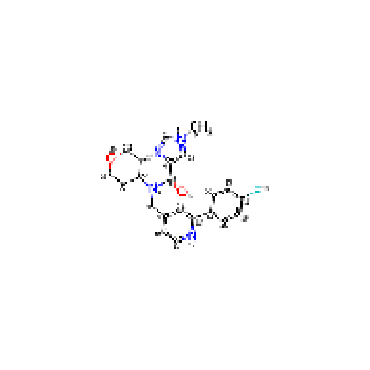 Cn1cnc(C(=O)N(Cc2ccnc(-c3ccc(F)cc3)c2)C2CCOCC2)c1